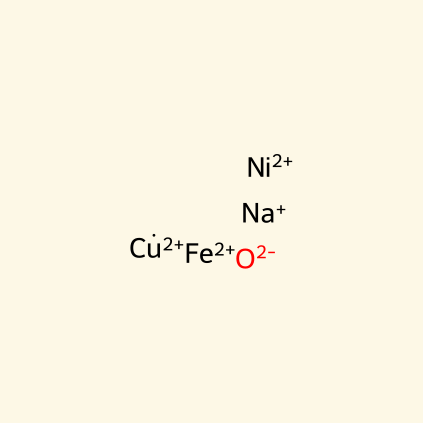 [Cu+2].[Fe+2].[Na+].[Ni+2].[O-2]